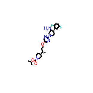 CC(C)OC(=O)N1CCC([C@H](C)CCOc2cnc(N3CC[C@H](c4cc(F)ccc4F)[C@@H](N)C3)nc2)CC1